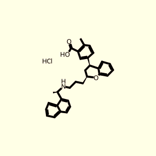 Cc1ccc([C@@H]2C[C@H](CCCN[C@H](C)c3cccc4ccccc34)Oc3ccccc32)cc1C(=O)O.Cl